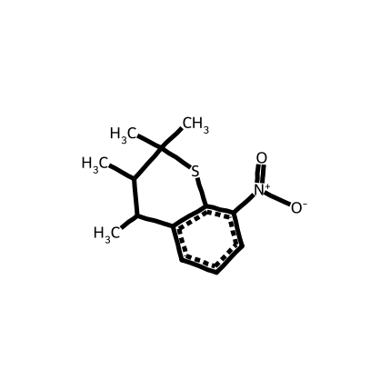 CC1c2cccc([N+](=O)[O-])c2SC(C)(C)C1C